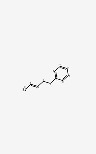 CCC=CCCc1cc[c]cc1